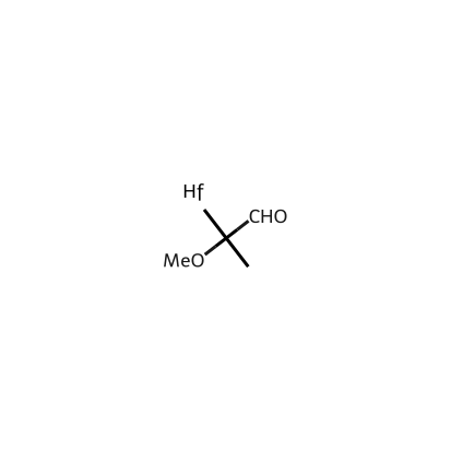 COC(C)(C)C=O.[Hf]